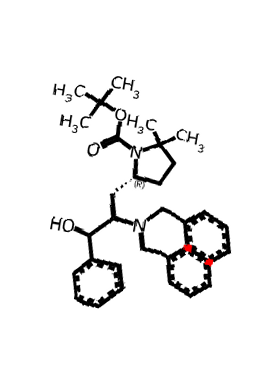 CC(C)(C)OC(=O)N1[C@@H](CC(C(O)c2ccccc2)N(Cc2ccccc2)Cc2ccccc2)CCC1(C)C